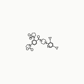 O=C(c1ccc(N2CCOC2=O)cc1N1CCCS1(=O)=O)N1CCN(c2ncc(C3CC3)cc2C2CC2)CC1